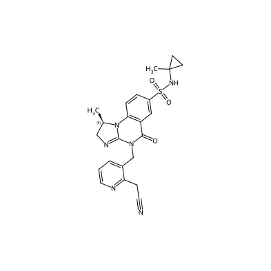 C[C@@H]1CN=C2N(Cc3cccnc3CC#N)C(=O)c3cc(S(=O)(=O)NC4(C)CC4)ccc3N21